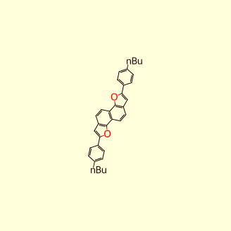 CCCCc1ccc(-c2cc3ccc4c(ccc5cc(-c6ccc(CCCC)cc6)oc54)c3o2)cc1